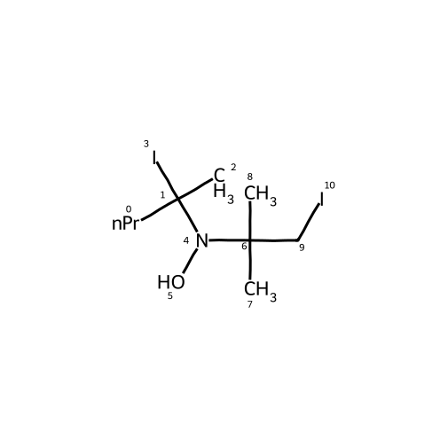 CCCC(C)(I)N(O)C(C)(C)CI